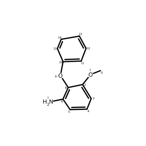 COc1cccc(N)c1Oc1ccccc1